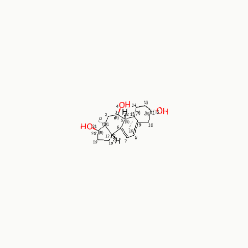 C[C@]12C[C@@H](O)[C@H]3C(=CC=C4C[C@@H](O)CC[C@@]43C)[C@@H]1CC[C@H]2O